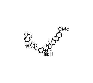 COc1ccc2cc(C=C3SC(Nc4ccc(CC(=O)NS(=O)(=O)c5ccc(C)cc5)cc4)=NC3=O)ccc2c1.[NaH]